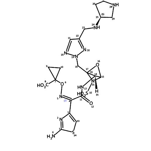 Nc1nc(/C(=N/OC2(C(=O)O)CC2)C(=O)N[C@H]2C3OC2(Cn2ncc(CN[C@H]4CCNC4)n2)N3S(=O)(=O)O)cs1